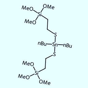 CCC[CH2][Sn]([CH2]CCC)([S]CC[Si](OC)(OC)OC)[S]CC[Si](OC)(OC)OC